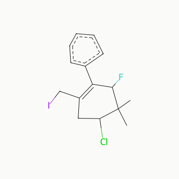 CC1(C)C(Cl)CC(CI)=C(c2ccccc2)C1F